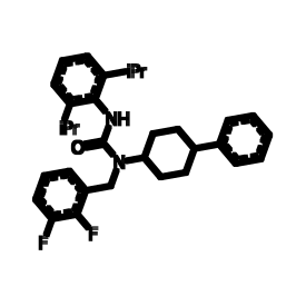 CC(C)c1cccc(C(C)C)c1NC(=O)N(Cc1cccc(F)c1F)C1CCC(c2ccccc2)CC1